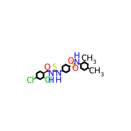 Cc1ccc(NS(=O)(=O)c2ccc(NC(=S)NC(=O)c3ccc(Cl)cc3Cl)cc2)c(C)c1